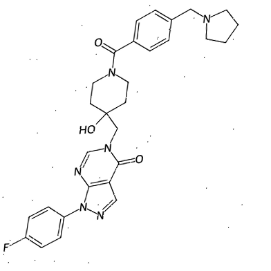 O=C(c1ccc(CN2CCCC2)cc1)N1CCC(O)(Cn2cnc3c(cnn3-c3ccc(F)cc3)c2=O)CC1